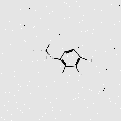 C[C@H](Nc1ccc(O)c(O)c1O)C(=O)O